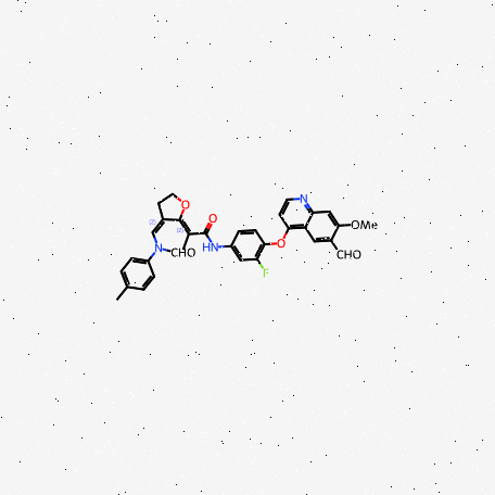 COc1cc2nccc(Oc3ccc(NC(=O)/C(C)=C4\OCC\C4=C\N(C=O)c4ccc(C)cc4)cc3F)c2cc1C=O